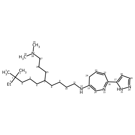 CCC(C)(C)CCCC(CCCCNC1=CN=C(c2ccn[nH]2)C=CC1)CCCN(C)C